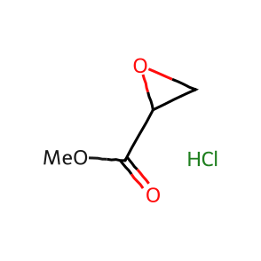 COC(=O)C1CO1.Cl